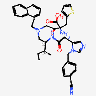 CC[C@H](C)[C@@H](CN(CC(=O)C(N)(Cc1cccs1)C(=O)O)Cc1cccc2ccccc12)NC(=O)Cc1cncn1Cc1ccc(C#N)cc1